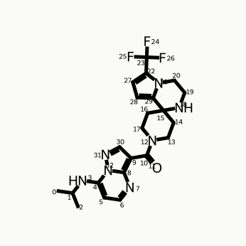 CC(C)Nc1ccnc2c(C(=O)N3CCC4(CC3)NCCn3c(C(F)(F)F)ccc34)cnn12